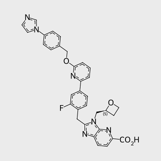 O=C(O)c1ccc2nc(Cc3ccc(-c4cccc(OCc5ccc(-n6ccnc6)cc5)n4)cc3F)n(C[C@@H]3CCO3)c2n1